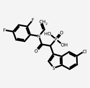 C=CN(C(=O)C(c1csc2ccc(Cl)cc12)P(=O)(O)O)c1ccc(F)cc1F